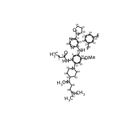 C=CC(=O)Nc1cc(Nc2cc(N3OCC[C@@H]3c3cc(F)cc(F)c3)ncn2)c(OC)cc1N1CCC(N(C)CCN(C)C)CC1